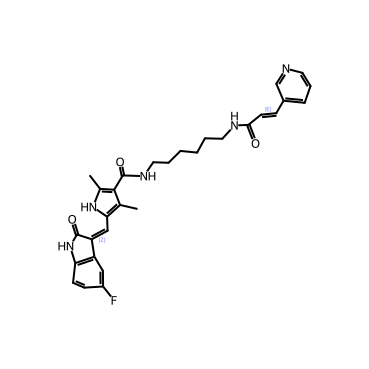 Cc1[nH]c(/C=C2\C(=O)Nc3ccc(F)cc32)c(C)c1C(=O)NCCCCCCNC(=O)/C=C/c1cccnc1